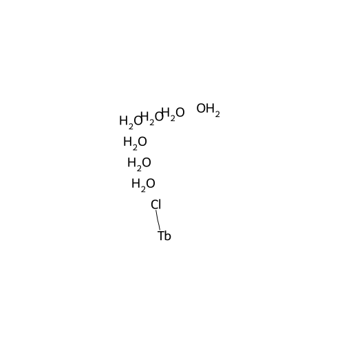 O.O.O.O.O.O.O.[Cl][Tb]